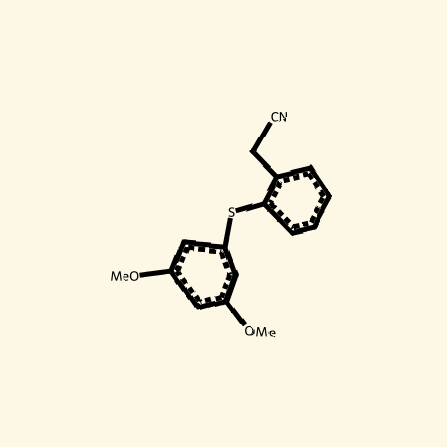 COc1cc(OC)cc(Sc2ccccc2CC#N)c1